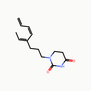 C=C/C=C\C(=C/C)CCCN1CCC(=O)NC1=O